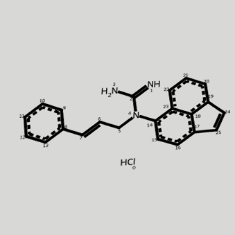 Cl.N=C(N)N(CC=Cc1ccccc1)c1ccc2c3c(cccc13)C=C2